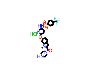 Cl.Cn1c(C(=O)N2CCNCC2)cc2ccc(Oc3ccc(NS(=O)(=O)c4ccc(C(F)(F)F)cc4)cn3)cc21